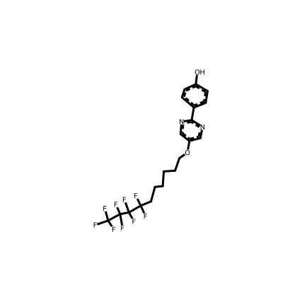 Oc1ccc(-c2ncc(OCCCCCCC(F)(F)C(F)(F)C(F)(F)C(F)(F)F)cn2)cc1